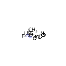 C=C(/C=C\C(=C/CF)OCC)CC(=O)N1CCc2cccnc2C1